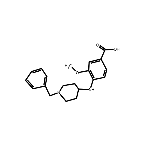 COc1cc(C(=O)O)ccc1NC1CCN(Cc2ccccc2)CC1